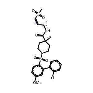 COc1ccc(S(=O)(=O)N2CCC(F)(C(=O)N[C@@H](C)/C=C\S(C)(=O)=O)CC2)c(-c2ccccc2Cl)c1